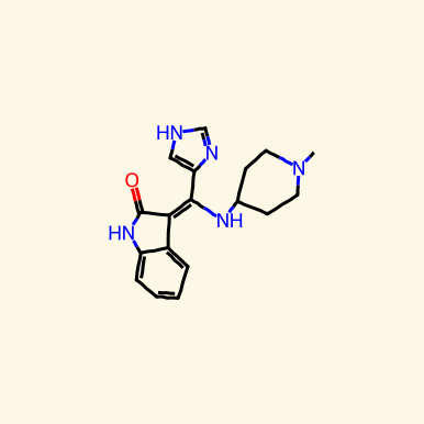 CN1CCC(NC(=C2C(=O)Nc3ccccc32)c2c[nH]cn2)CC1